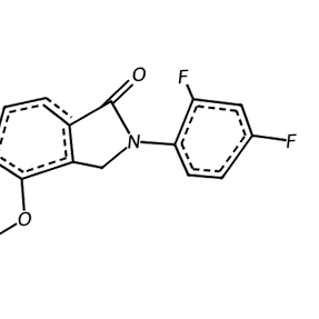 COc1cccc2c1CN(c1ccc(F)cc1F)C2=O